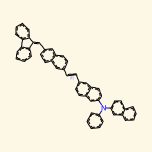 C(=C1c2ccccc2-c2ccccc21)c1ccc2cc(/C=C/c3ccc4cc(N(c5ccccc5)c5ccc6ccccc6c5)ccc4c3)ccc2c1